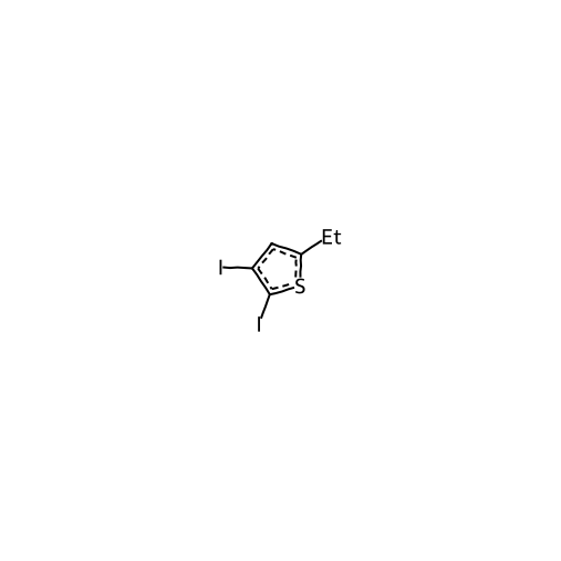 [CH2]Cc1cc(I)c(I)s1